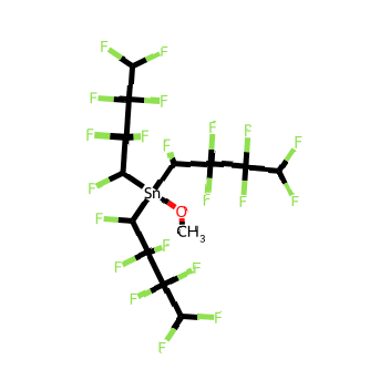 C[O][Sn]([CH](F)C(F)(F)C(F)(F)C(F)F)([CH](F)C(F)(F)C(F)(F)C(F)F)[CH](F)C(F)(F)C(F)(F)C(F)F